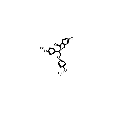 CC(C)Oc1ccc(C(COc2ccc(OC(F)(F)F)cc2)N2Cc3cc(Cl)ccc3C2=O)cc1